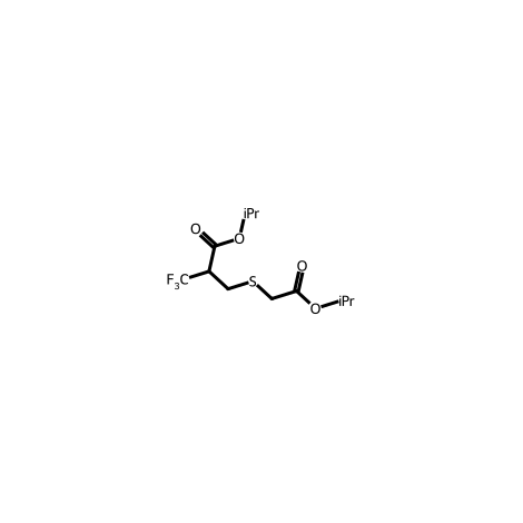 CC(C)OC(=O)CSCC(C(=O)OC(C)C)C(F)(F)F